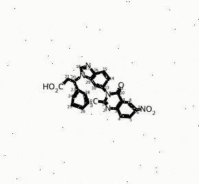 Cc1nc2ccc([N+](=O)[O-])cc2c(=O)n1-c1ccc2ncn(C(CC(=O)O)c3ccccc3)c2c1